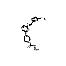 Cc1csc(COc2cncc(N3CCN(C(=O)OC(C)(C)C)CC3)n2)n1